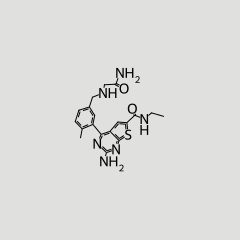 CCNC(=O)c1cc2c(-c3cc(CNCC(N)=O)ccc3C)nc(N)nc2s1